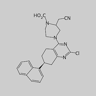 N#CCC1CN(c2nc(Cl)nc3c2CC[C@H](c2cccc4ccccc24)C3)CCN1C(=O)O